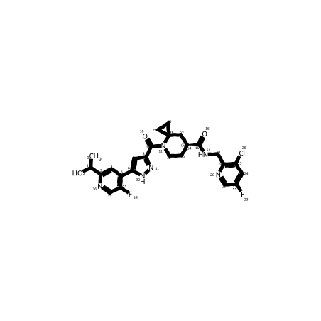 CC(O)c1cc(-c2cc(C(=O)N3CC[C@H](C(=O)NCc4ncc(F)cc4Cl)CC34CC4)n[nH]2)c(F)cn1